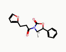 C[C@H]1C(c2ccccc2)OC(=O)N1C(=O)CCc1ccco1